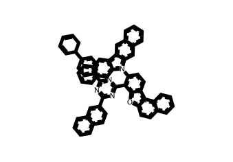 C1=CCC(c2ccc(-c3nc(-c4ccc5ccccc5c4)nc(-c4c(-n5c6cc7ccccc7cc6c6cc7ccccc7cc65)ccc5c4oc4ccc6ccccc6c45)n3)cc2)C=C1